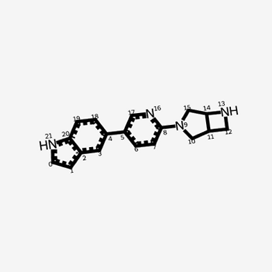 c1cc2cc(-c3ccc(N4CC5CNC5C4)nc3)ccc2[nH]1